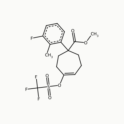 COC(=O)C1(c2cccc(F)c2C)CCC=C(OS(=O)(=O)C(F)(F)F)CC1